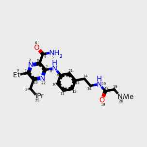 CCc1nc(C(N)=O)c(Nc2cccc(CCNC(=O)CNC)c2)nc1CC(C)C